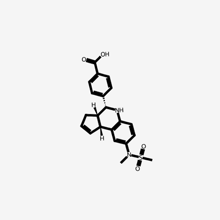 CN(c1ccc2c(c1)[C@@H]1C=CC[C@@H]1[C@H](c1ccc(C(=O)O)cc1)N2)S(C)(=O)=O